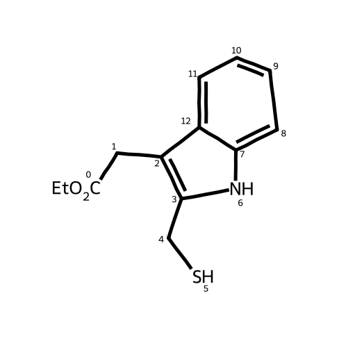 CCOC(=O)Cc1c(CS)[nH]c2ccccc12